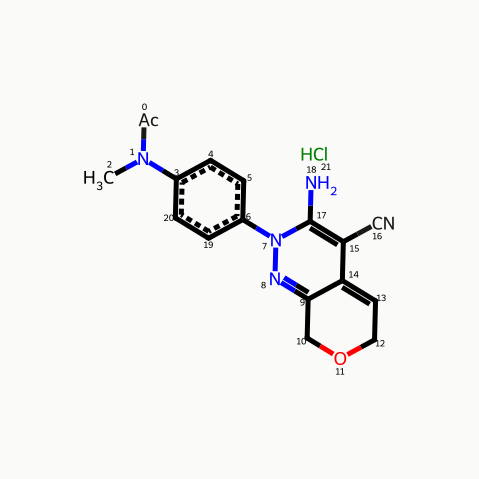 CC(=O)N(C)c1ccc(N2N=C3COCC=C3C(C#N)=C2N)cc1.Cl